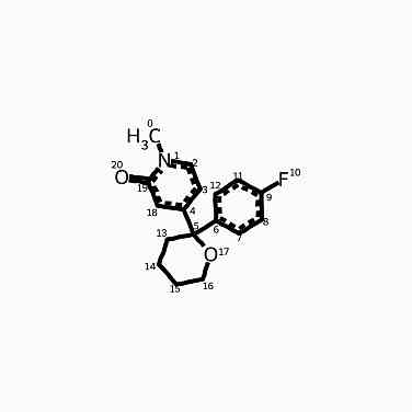 Cn1ccc(C2(c3ccc(F)cc3)CCCCO2)cc1=O